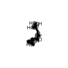 CCCCc1nc(Cl)c(C(=O)O[C@H](C)C(=O)OCCCC[C@H](CON(O)O)ON(O)O)n1Cc1ccc(-c2ccccc2-c2nnn[nH]2)cc1